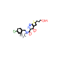 CN(Cc1ccc(Cl)cc1)C(=O)C1N=Nc2sc(CCCO)cc2C1=O